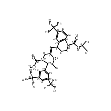 CCOC(=CC1CCN(C(=O)OC(C)C)c2ccc(C(F)(F)F)cc21)CN(Cc1cc(C(F)(F)F)cc(C(F)(F)F)c1)C(=O)OC